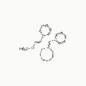 C(=C1CCCCCC1)c1ccccc1.O=C(O)OC=Cc1ccccc1